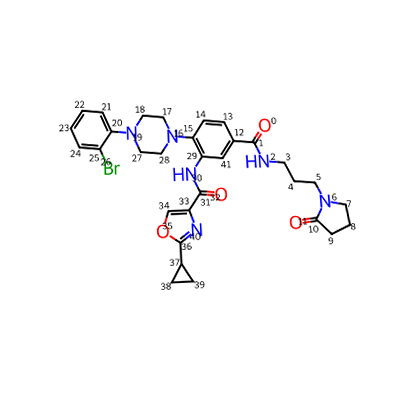 O=C(NCCCN1CCCC1=O)c1ccc(N2CCN(c3ccccc3Br)CC2)c(NC(=O)c2coc(C3CC3)n2)c1